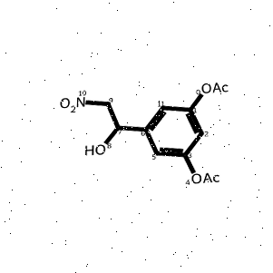 CC(=O)Oc1cc(OC(C)=O)cc(C(O)C[N+](=O)[O-])c1